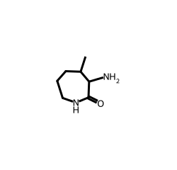 CC1CCCNC(=O)C1N